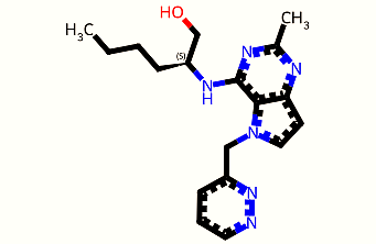 CCCC[C@@H](CO)Nc1nc(C)nc2ccn(Cc3cccnn3)c12